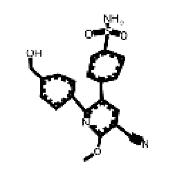 COc1nc(-c2ccc(CO)cc2)c(-c2ccc(S(N)(=O)=O)cc2)cc1C#N